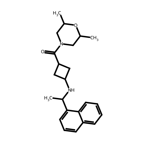 CC1CN(C(=O)C2CC(NC(C)c3cccc4ccccc34)C2)CC(C)O1